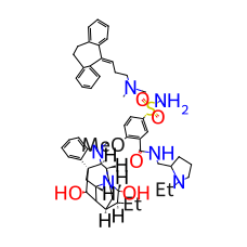 CCN1CCCC1CNC(=O)c1cc(S(N)(=O)=O)ccc1OC.CC[C@H]1[C@@H]2C[C@H]3[C@@H]4N(C)c5ccccc5[C@]45C[C@@H](C2[C@H]5O)N3[C@@H]1O.CN(C)CCC=C1c2ccccc2CCc2ccccc21